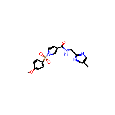 COc1ccc(S(=O)(=O)n2ccc(C(=O)NCc3ncc(C)cn3)c2)cc1